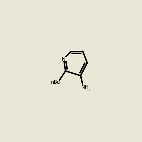 CCCCc1ncccc1N